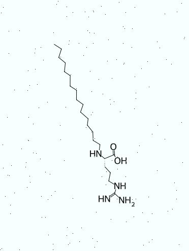 CCCCCCCCCCCCCCCCN[C@@H](CCCNC(=N)N)C(=O)O